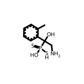 Cc1ccccc1C(O)(CN)P(O)(=S)S